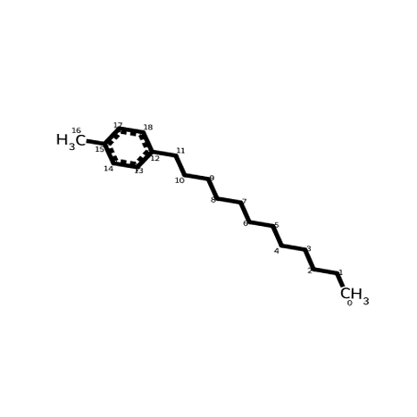 CCCCCCCCCCCCc1[c]cc(C)[c]c1